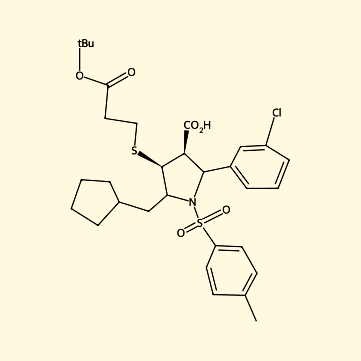 Cc1ccc(S(=O)(=O)N2C(CC3CCCC3)[C@@H](SCCC(=O)OC(C)(C)C)[C@@H](C(=O)O)C2c2cccc(Cl)c2)cc1